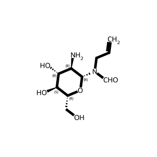 C=CCN(C=O)[C@@H]1O[C@H](CO)[C@@H](O)[C@H](O)[C@H]1N